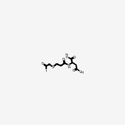 O=C(O)CC(NC(=O)CCSCC(=O)I)C(=O)O